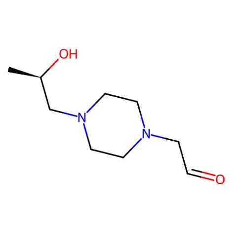 C[C@@H](O)CN1CCN(CC=O)CC1